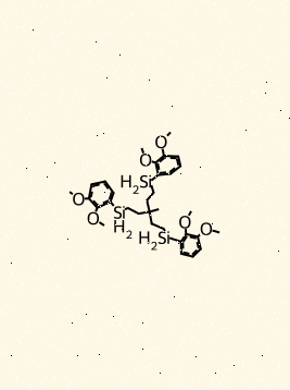 COc1cccc([SiH2]CCC(C)(CC[SiH2]c2cccc(OC)c2OC)CC[SiH2]c2cccc(OC)c2OC)c1OC